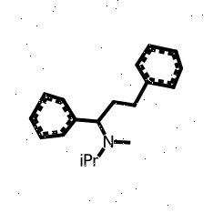 CC(C)N(C)C(CCc1ccccc1)c1ccccc1